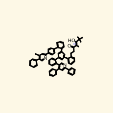 C/C(C(=O)CCc1ccccc1-c1cc(-c2ccccc2-c2ccc(-c3cc(C)c(-c4ccccc4)cn3)cc2)cc(-c2ccccc2-c2cnc(-c3ccccc3)cc2-c2ccccc2)c1)=C(/O)C(C)(C)C